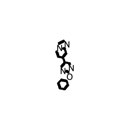 c1ccc(Oc2ncc(-c3ccn4ccnc4c3)cn2)cc1